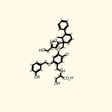 CC1C(c2ccccc2)=CC=CC1(COc1cc(OCc2cccc(C#N)c2)c(CNC(CO)C(=O)O)cc1Cl)c1cc(CO)no1